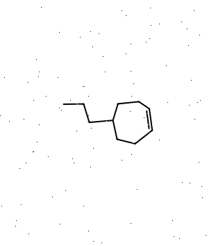 CC[CH]C1CCC=CCC1